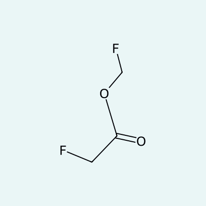 O=C(CF)OCF